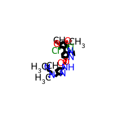 COc1cc(OC)c(Cl)c(-c2ccc(OC(=O)Nc3ccc(CN(C)CCN(C)C)cn3)c3nccnc23)c1Cl